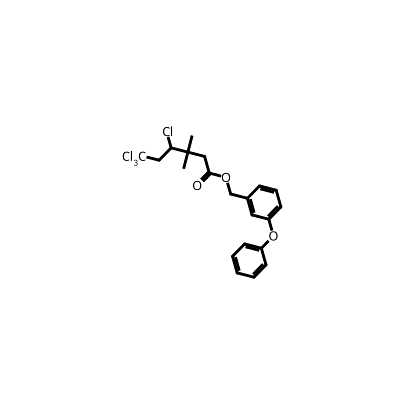 CC(C)(CC(=O)OCc1cccc(Oc2ccccc2)c1)C(Cl)CC(Cl)(Cl)Cl